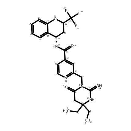 CCC1(CC)CC(=O)N(Cc2cc(C(=O)N[C@H]3CC(C(F)(F)F)Oc4ccccc43)ccn2)C(=N)N1